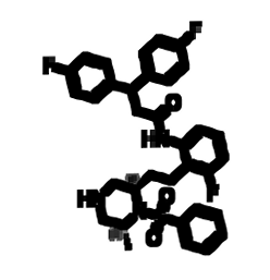 C[C@@H]1CNC[C@@H](CCc2c(F)cccc2NC(=O)CC(c2ccc(F)cc2)c2ccc(F)cc2)N1S(=O)(=O)c1ccccc1